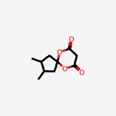 CC1CC2(CC1C)OC(=O)CC(=O)O2